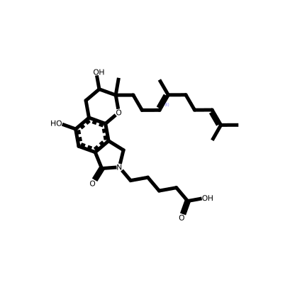 CC(C)=CCC/C(C)=C/CCC1(C)Oc2c(c(O)cc3c2CN(CCCCC(=O)O)C3=O)CC1O